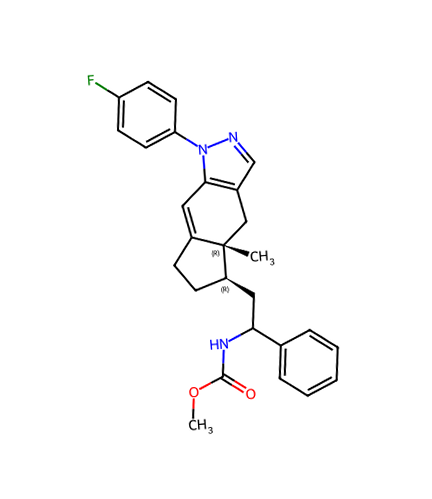 COC(=O)NC(C[C@H]1CCC2=Cc3c(cnn3-c3ccc(F)cc3)C[C@@]21C)c1ccccc1